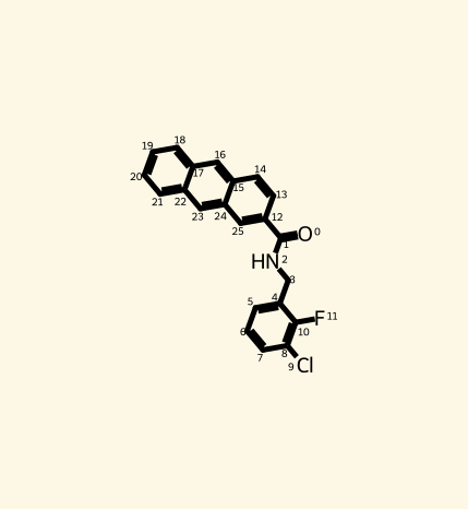 O=C(NCc1cccc(Cl)c1F)c1ccc2cc3ccccc3cc2c1